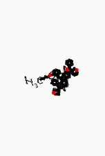 CCCCCCOc1ccccc1Cn1c2cc(N=C(c3ccccc3)c3ccccc3)ccc2c2ccc(N=C(c3ccccc3)c3ccccc3)cc21